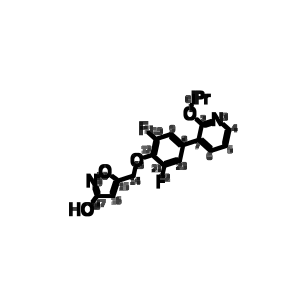 CC(C)Oc1ncccc1-c1cc(F)c(OCc2cc(O)no2)c(F)c1